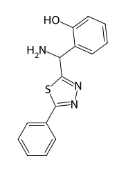 NC(c1nnc(-c2ccccc2)s1)c1ccccc1O